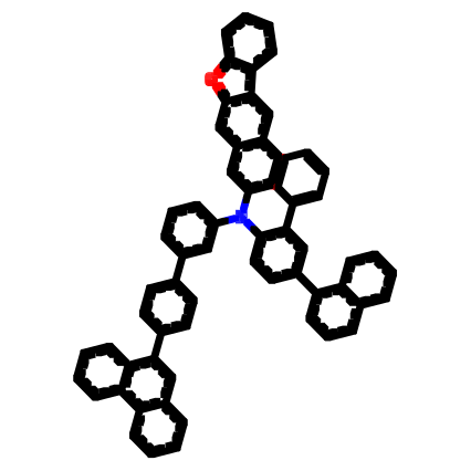 c1c(N(c2cccc(-c3ccc(-c4cc5ccccc5c5ccccc45)cc3)c2)c2ccc(-c3cccc4ccccc34)cc2C2=CC=CCC2)cc2cc3oc4ccccc4c3cc2c#1